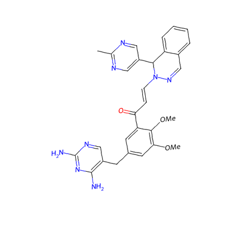 COc1cc(Cc2cnc(N)nc2N)cc(C(=O)/C=C/N2N=Cc3ccccc3C2c2cnc(C)nc2)c1OC